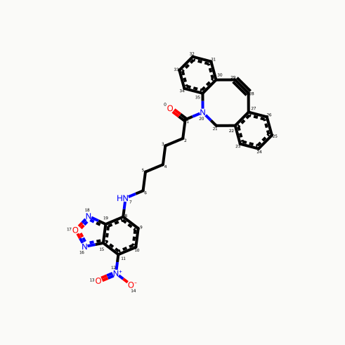 O=C(CCCCCNc1ccc([N+](=O)[O-])c2nonc12)N1Cc2ccccc2C#Cc2ccccc21